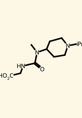 CC(C)N1CCC(N(C)C(=O)NCC(=O)O)CC1